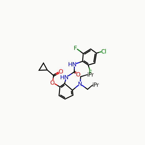 CC(C)CN(CC(C)C)c1cccc(OC(=O)C2CC2)c1NC(=O)Nc1c(F)cc(Cl)cc1F